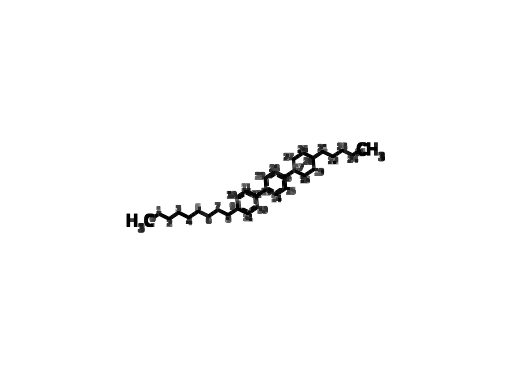 CCCCCCCCCc1ccc(-c2ccc(C3CCC(CCCCC)CC3)cc2)cc1